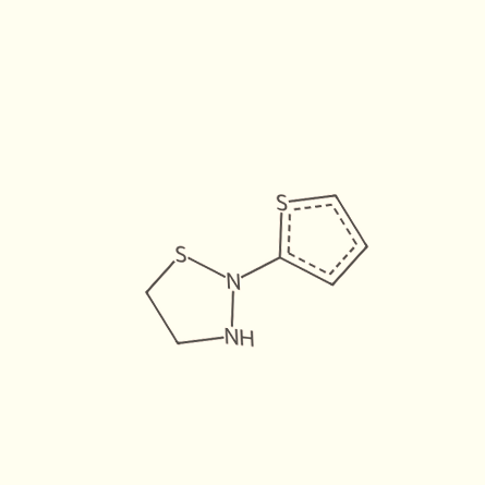 c1csc(N2NCCS2)c1